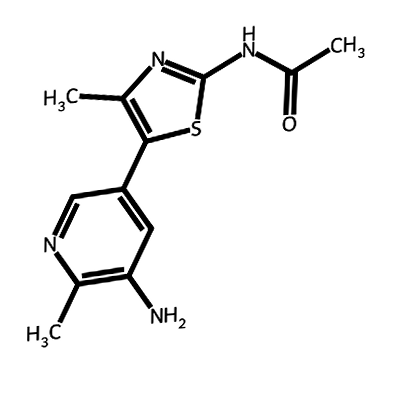 CC(=O)Nc1nc(C)c(-c2cnc(C)c(N)c2)s1